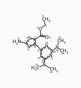 CCOC(=O)c1sc(N)nc1-c1cc(N(C)C)nc(N(C)C)n1